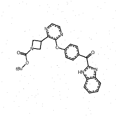 CC(C)(C)OC(=O)N1CC(c2nccnc2Oc2ccc(C(=O)c3nc4ccccc4[nH]3)cc2)C1